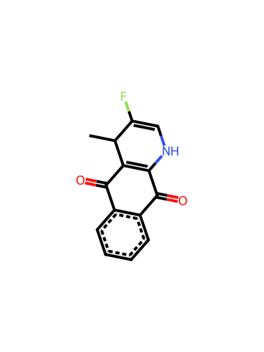 CC1C(F)=CNC2=C1C(=O)c1ccccc1C2=O